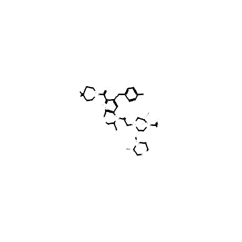 CC1COc2nc(C(=O)N3CCC(F)(F)CC3)c(Cc3ccc(F)cc3)cc2N1C(=O)CN1C[C@@H](C)N(C(=O)O)C[C@@H]1CN1[C@H](C)COC[C@H]1C